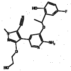 CC(Oc1cc(-c2c(OCCO)nn(C)c2C#N)cnc1N)c1cc(F)ccc1O